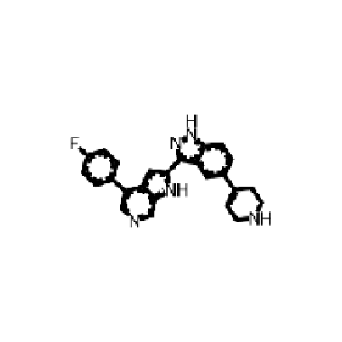 Fc1ccc(-c2cncc3[nH]c(-c4n[nH]c5ccc(C6=CCNCC6)cc45)cc23)cc1